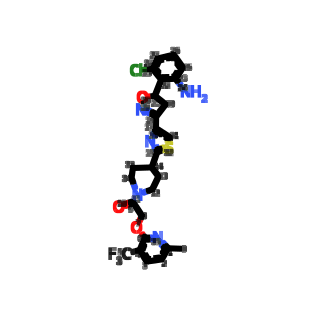 Cc1ccc(C(F)(F)F)c(OCC(=O)N2CCC(c3nc(C4=NOC(c5c(N)cccc5Cl)C4)cs3)CC2)n1